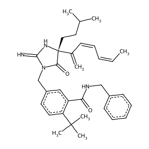 C=C(/C=C\C=C/C)[C@@]1(CCC(C)C)NC(=N)N(Cc2ccc(C(C)(C)C)c(C(=O)NCc3ccccc3)c2)C1=O